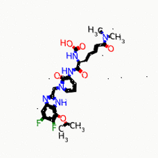 CC(C)Oc1c(F)c(F)cc2nc(Cn3cccc(NC(=O)[C@H](CC/C=C/C(=O)N(C)C)NC(=O)O)c3=O)[nH]c12